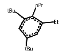 CCCc1c(CC)cc(C(C)(C)C)cc1C(C)(C)C